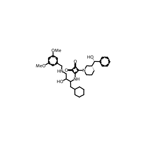 COc1cc(CNCC(O)C(CC2CCCCC2)Nc2c(N3CCC[C@@H]([C@H](O)c4ccccc4)C3)c(=O)c2=O)cc(OC)c1